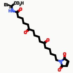 CC[C@H](NC(=O)CCCCC(=O)CCCCC(=O)CCCCCN1C(=O)C=CC1=O)C(=O)O